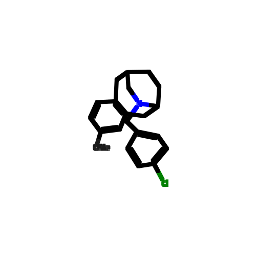 COc1ccc2c(c1)CC1CCC(C2)CN1Cc1ccc(Cl)cc1